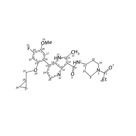 CCC(=O)N1CCC(NC(=O)c2c(C)[nH]c3c(-c4cc(OC)c(F)cc4OCC4CC4)ccnc23)CC1